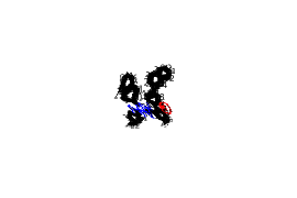 C1=Cc2cc(-c3nc(-c4ccccc4)nc(-c4cccc5oc6cc(-c7ccc8ccccc8c7)ccc6c45)n3)ccc2CC1